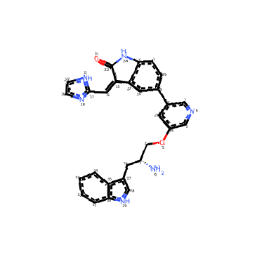 N[C@@H](COc1cncc(-c2ccc3c(c2)C(=Cc2ncc[nH]2)C(=O)N3)c1)Cc1c[nH]c2ccccc12